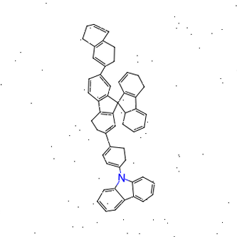 C1=CCC2C(=C1)C1=C(C=CCC1)C21C2=C(CCC(C3=CC=C(n4c5ccccc5c5ccccc54)CC3)=C2)c2ccc(C3=CC4=C(C=CCC4)CC3)cc21